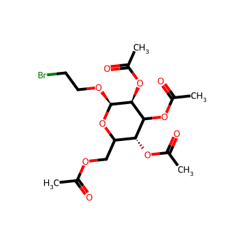 CC(=O)OCC1O[C@@H](OCCBr)[C@@H](OC(C)=O)C(OC(C)=O)[C@@H]1OC(C)=O